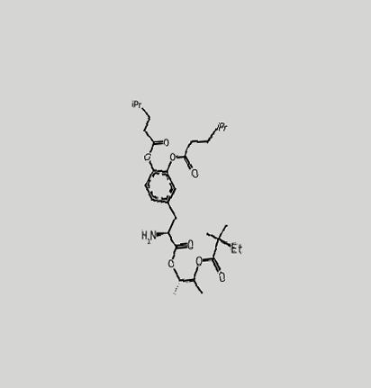 CCC(C)(C)C(=O)OC(C)[C@H](C)OC(=O)[C@@H](N)Cc1ccc(OC(=O)CCC(C)C)c(OC(=O)CCC(C)C)c1